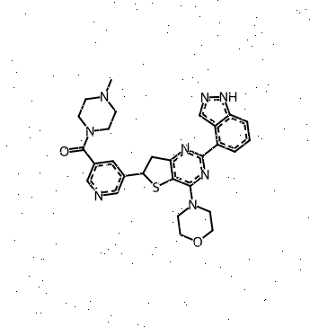 CN1CCN(C(=O)c2cncc(C3Cc4nc(-c5cccc6[nH]ncc56)nc(N5CCOCC5)c4S3)c2)CC1